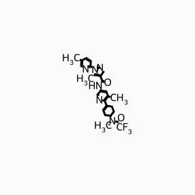 Cc1ccc(-n2ncc(C(=O)Nc3cnc(C4=CCC(N(C)C(=O)C(F)(F)F)CC4)c(C)c3)c2C)nc1